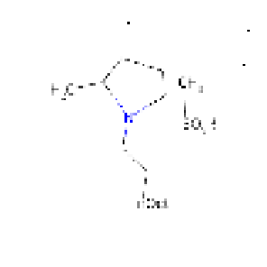 CCCCCCCCCCN1CCCC1C.CS(=O)(=O)O